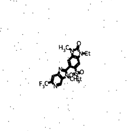 CCn1c(=O)n(C)c2cc(-c3nc4cc(C(F)(F)F)ncc4n3C)c(S(=O)(=O)CC)cc21